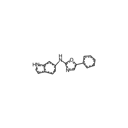 c1ccc(-c2cnc(Nc3ccc4cc[nH]c4c3)o2)cc1